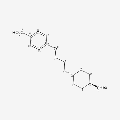 CCCCCC[C@H]1CC[C@H](CCCOc2ccc(C(=O)O)cc2)CC1